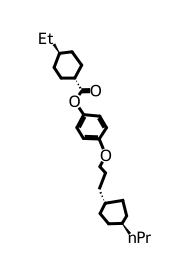 CCC[C@H]1CC[C@H](CCCOc2ccc(OC(=O)[C@H]3CC[C@H](CC)CC3)cc2)CC1